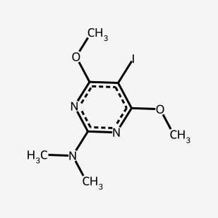 COc1nc(N(C)C)nc(OC)c1I